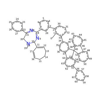 Cc1c(-c2cccc(C3=NC(C4=CCCCC=C4)N(C)CC(c4ccccc4)=N3)c2)cccc1-c1ccc2c(c1)C1(c3ccccc3-c3ccccc31)c1cc(-c3ccccc3)ccc1-2